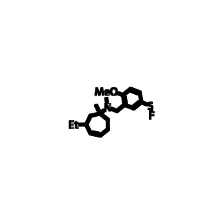 CCC1C=CCCC(C)(N(C)Cc2cc(SF)ccc2OC)C1